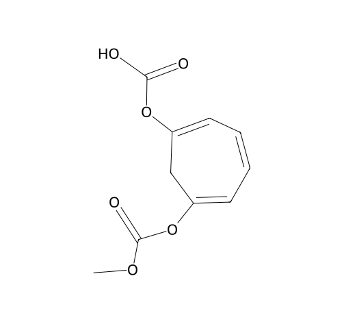 COC(=O)OC1=CC=CC=C(OC(=O)O)C1